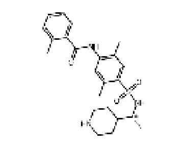 Cc1cc(S(=O)(=O)N[C@H](C)C2CCNCC2)c(C)cc1NC(=O)c1ccccc1C